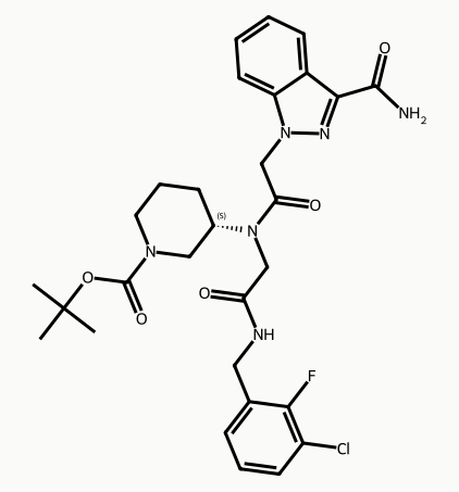 CC(C)(C)OC(=O)N1CCC[C@H](N(CC(=O)NCc2cccc(Cl)c2F)C(=O)Cn2nc(C(N)=O)c3ccccc32)C1